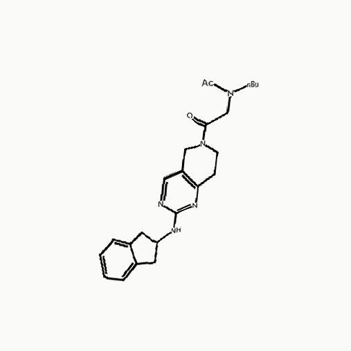 CCCCN(CC(=O)N1CCc2nc(NC3Cc4ccccc4C3)ncc2C1)C(C)=O